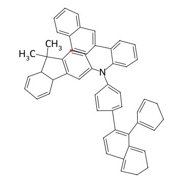 CC1(C)c2ccc(N(c3ccc(-c4ccc5c(c4C4=CCCC=C4)=CCCC=5)cc3)c3ccccc3-c3ccc4ccccc4c3)cc2C2C=CC=CC21